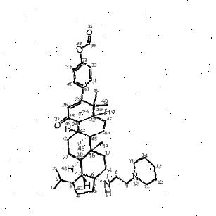 CC(C)[C@@H]1CC[C@]2(NCCN3CCCCC3)CC[C@]3(C)[C@H](CC[C@@H]4[C@@]5(C)C(=O)C=C(c6ccc(OC=O)cc6)C(C)(C)[C@@H]5CC[C@]43C)[C@@H]12